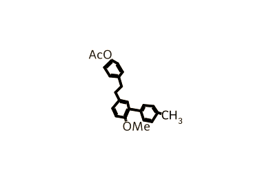 COc1ccc(CCc2ccc(OC(C)=O)cc2)cc1-c1ccc(C)cc1